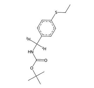 [2H]C([2H])(NC(=O)OC(C)(C)C)c1ccc(SCC)cc1